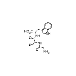 CC(C)[C@H](NC(=O)CN)C(=O)N[C@@H](Cc1c[nH]c2ccccc12)C(=O)O